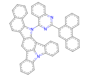 c1ccc2c(c1)cc(-c1nc(-n3c4c5ccccc5ccc4c4cc5c6ccccc6n6c7ccccc7c(c43)c56)c3ccccc3n1)c1ccccc12